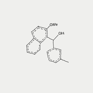 COc1ccc2ccccc2c1C(O)c1cccc(C)c1